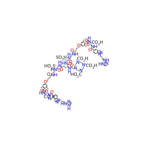 Cc1cc(OCCCC(=O)NCCNC(=O)[C@H](CS(=O)(=O)O)NC(=O)CC[C@H](NC(=O)CN2CCN(CC(=O)O)CCN(CC(=O)O)CCN(CC(=O)O)CC2)C(=O)N[C@@H](CS(=O)(=O)O)C(=O)NCCNC(=O)CCCOc2cc(C)c(S(=O)(=O)N[C@@H](CNC(=O)c3ccc4c(cnn4CCCNc4ncc[nH]4)c3)C(=O)O)c(C)c2)cc(C)c1S(=O)(=O)N[C@@H](CNC(=O)c1ccc2c(cnn2CCCNc2ncc[nH]2)c1)C(=O)O